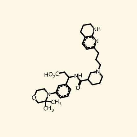 CC1(C)COCCN1c1cccc(C(CC(=O)O)NC(=O)C2CCCN(CCCc3ccc4c(n3)NCCC4)C2)c1